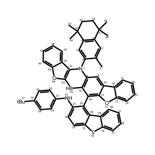 Cc1cc2c(cc1N1c3cc4c(oc5ccccc54)c(-c4c(Nc5ccc(C(C)(C)C)cc5)ccc5sc6ccccc6c45)c3Bc3oc4ccccc4c31)C(C)(C)CCC2(C)C